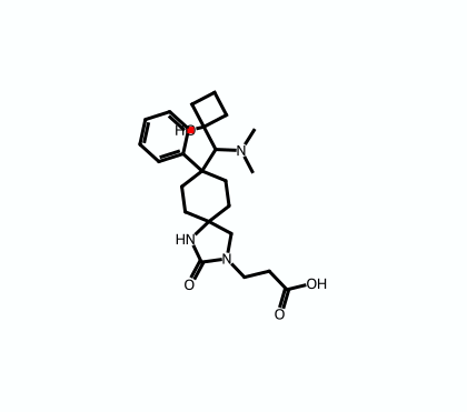 CN(C)C(C1(O)CCC1)C1(c2ccccc2)CCC2(CC1)CN(CCC(=O)O)C(=O)N2